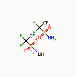 NS(=O)(=O)C(F)(F)C(F)(F)F.NS(=O)(=O)C(F)(F)C(F)(F)F.[LiH]